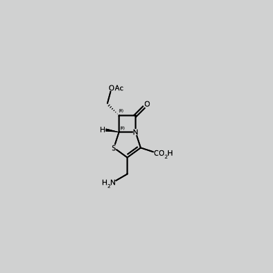 CC(=O)OC[C@@H]1C(=O)N2C(C(=O)O)=C(CN)S[C@H]12